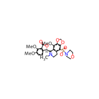 COc1ccc2c(c1OC)C(=O)O[C@@H]2[C@H]1c2c(c(S(=O)(=O)N3CCOCC3)c3c(c2OC)OCO3)CCN1C